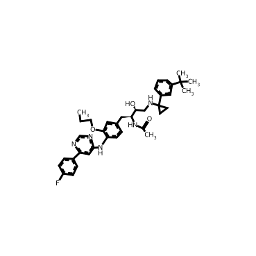 CCCOc1cc(C[C@H](NC(C)=O)[C@@H](O)CNC2(c3cccc(C(C)(C)C)c3)CC2)ccc1Nc1cc(-c2ccc(F)cc2)ncn1